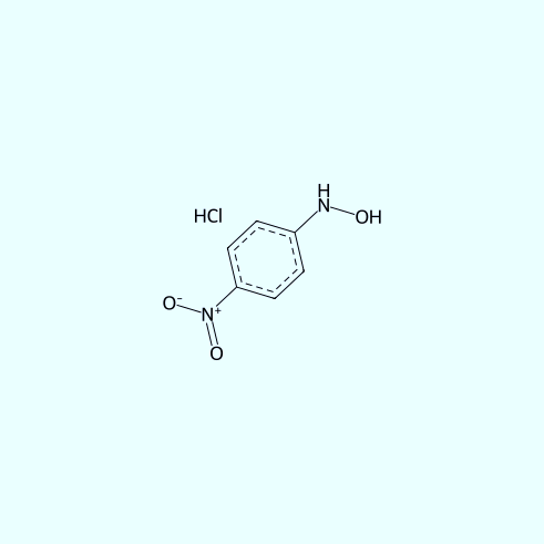 Cl.O=[N+]([O-])c1ccc(NO)cc1